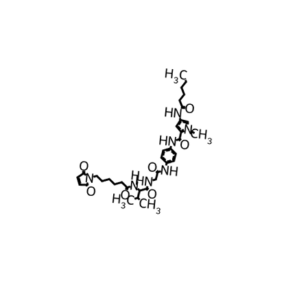 CCCCCC(=O)Nc1cc(C(=O)Nc2ccc(NC(=O)CNC(=O)C(NC(=O)CCCCCN3C(=O)C=CC3=O)C(C)C)cc2)n(C)c1